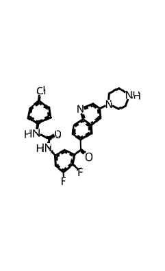 O=C(Nc1ccc(Cl)cc1)Nc1cc(F)c(F)c(C(=O)c2ccc3ncc(N4CCNCC4)cc3c2)c1